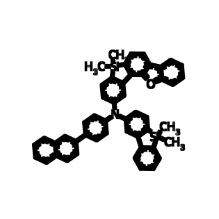 C[Si]1(C)c2ccccc2-c2cc(N(c3ccc(-c4ccc5ccccc5c4)cc3)c3ccc4c(c3)-c3c(ccc5c3oc3ccccc35)[Si]4(C)C)ccc21